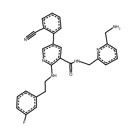 N#Cc1ccccc1-c1cnc(NCCc2cccc(F)c2)c(C(=O)NCc2cccc(CN)n2)c1